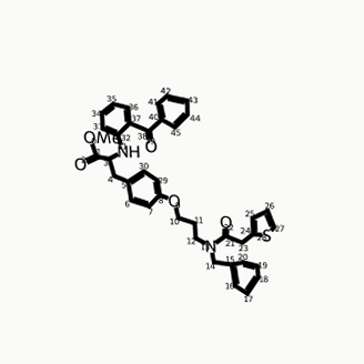 COC(=O)C(Cc1ccc(OCCCN(Cc2ccccc2)C(=O)Cc2cccs2)cc1)Nc1ccccc1C(=O)c1ccccc1